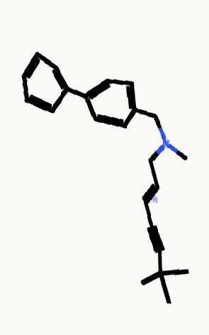 CN(C/C=C/C#CC(C)(C)C)Cc1ccc(-c2ccccc2)cc1